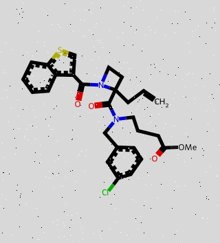 C=CCC1(C(=O)N(CCCC(=O)OC)Cc2cccc(Cl)c2)CCN1C(=O)c1csc2ccccc12